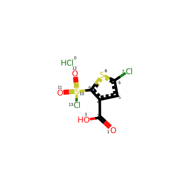 Cl.O=C(O)c1cc(Cl)sc1S(=O)(=O)Cl